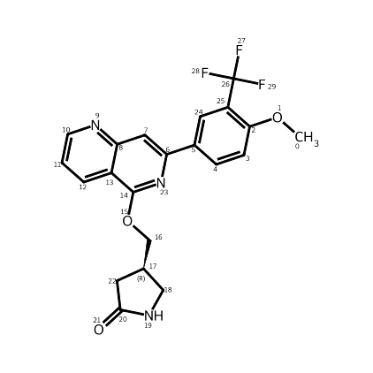 COc1ccc(-c2cc3ncccc3c(OC[C@H]3CNC(=O)C3)n2)cc1C(F)(F)F